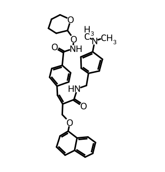 CN(C)c1ccc(CNC(=O)C(=Cc2ccc(C(=O)NOC3CCCCO3)cc2)COc2cccc3ccccc23)cc1